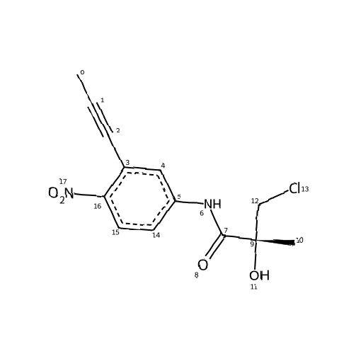 CC#Cc1cc(NC(=O)[C@@](C)(O)CCl)ccc1[N+](=O)[O-]